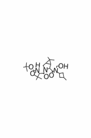 CC1CC(N(CO)C(=O)C2C3C(CN2C(=O)C(NC(=O)OC(C)(C)C)C(C)(C)C)C3(C)C)C1